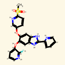 CS(=O)(=O)c1ccc(Oc2cc3[nH]c(-c4ccccn4)nc3cc2Oc2cccnc2F)cn1